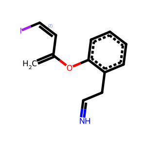 C=C(/C=C\I)Oc1ccccc1CC=N